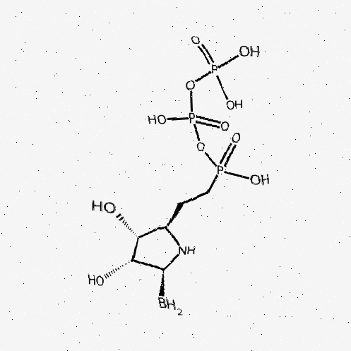 B[C@@H]1N[C@H](CCP(=O)(O)OP(=O)(O)OP(=O)(O)O)[C@@H](O)[C@H]1O